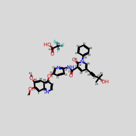 COc1cc2nccc(Oc3ccc(NC(=O)c4cc(C#CC(C)(C)O)cn(-c5ccccc5)c4=O)nc3)c2cc1OC.O=C(O)C(F)(F)F